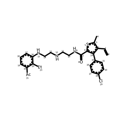 C=Cc1c(C)sc(C(=O)NCCNCCNc2cccc(C(C)=O)c2CC)c1-c1ccc(Cl)cc1